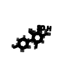 Cc1ccc(-c2c(C)cc(C)c(S(=O)(=O)O)c2C)cc1